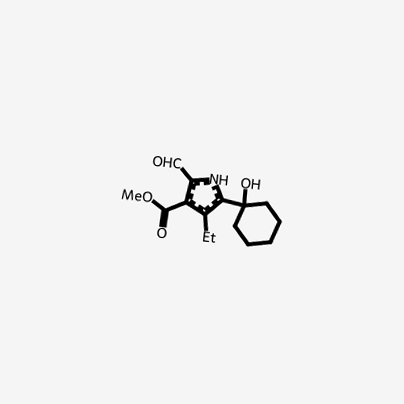 CCc1c(C2(O)CCCCC2)[nH]c(C=O)c1C(=O)OC